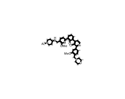 COc1cc(-c2nccc(-c3cccc(-c4ccc(CNC5CCN(C(C)=O)CC5)c(OC)n4)c3Cl)c2Cl)ccc1CN1CCOCC1